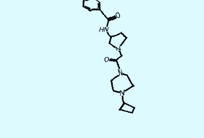 O=C(NC1CCN(CC(=O)N2CCN(C3CCC3)CC2)C1)c1ccccc1